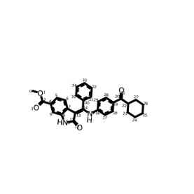 COC(=O)c1ccc2c(c1)NC(=O)/C2=C(\Nc1ccc(C(=O)C2CCCCC2)cc1)c1ccccc1